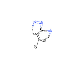 CCc1ccnc2nnccc12